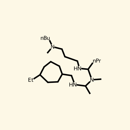 CCCCN(C)CCCNC(CCC)N(C)C(C)NCC1CCCC(CC)CC1